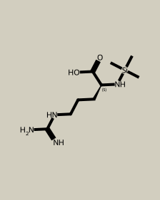 C[Si](C)(C)N[C@@H](CCCNC(=N)N)C(=O)O